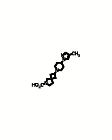 Cc1cnn(C2CCN(C3CC4(CCN(C(=O)O)C4)C3)CC2)c1